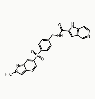 Cn1cc2ccc(S(=O)(=O)c3ccc(CNC(=O)c4cc5cnccc5[nH]4)cc3)cc2n1